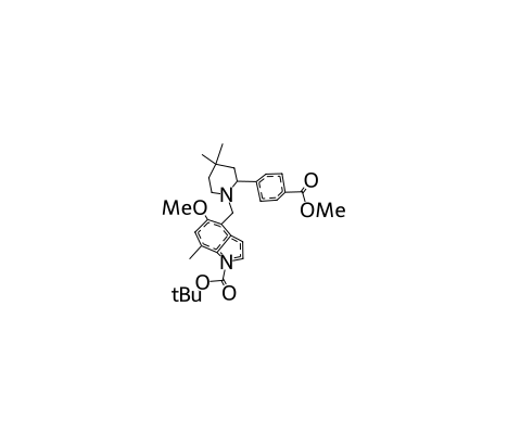 COC(=O)c1ccc(C2CC(C)(C)CCN2Cc2c(OC)cc(C)c3c2ccn3C(=O)OC(C)(C)C)cc1